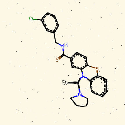 CCC(N1CCCC1)N1c2ccccc2Sc2ccc(C(=S)NCc3cccc(Cl)c3)cc21